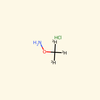 Cl.[2H]C([2H])([2H])ON